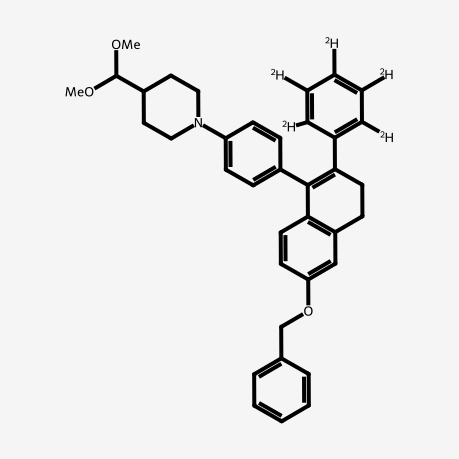 [2H]c1c([2H])c([2H])c(C2=C(c3ccc(N4CCC(C(OC)OC)CC4)cc3)c3ccc(OCc4ccccc4)cc3CC2)c([2H])c1[2H]